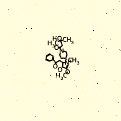 COC1=C[N+](C)(C2CCN(C(=O)CC(C)(C)O)CC2)C(CC(=O)c2ccccc2)C1=O